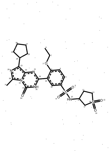 CCOc1ccc(S(=O)(=O)NC2CCS(=O)(=O)C2)cc1-c1nc2c(C3CCCC3)nc(C)n2c(=O)[nH]1